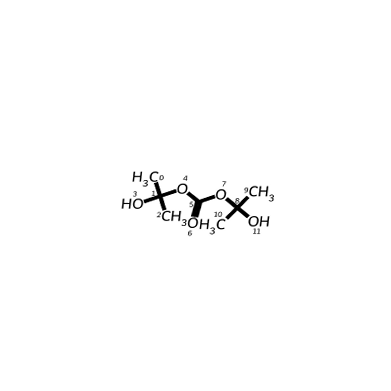 CC(C)(O)OC(=O)OC(C)(C)O